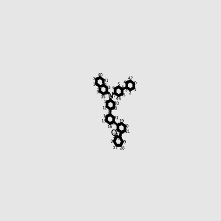 c1ccc(-c2ccc(N(c3ccc(-c4cccc(-c5cccc6c5oc5ccccc56)c4)cc3)c3ccc4ccccc4c3)cc2)cc1